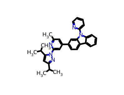 Cc1cc(-c2ccc3c4ccccc4n(-c4ccccn4)c3c2)cc(-n2nc(C(C)C)cc2C(C)C)n1